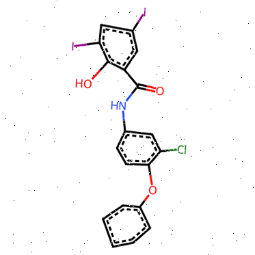 O=C(Nc1ccc(Oc2ccccc2)c(Cl)c1)c1cc(I)cc(I)c1O